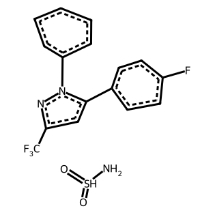 Fc1ccc(-c2cc(C(F)(F)F)nn2-c2ccccc2)cc1.N[SH](=O)=O